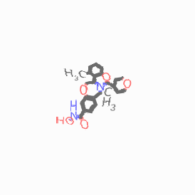 Cc1ccccc1C1COc2cc(C(=O)NO)ccc2CN1C(=O)C1(C)CCOCC1